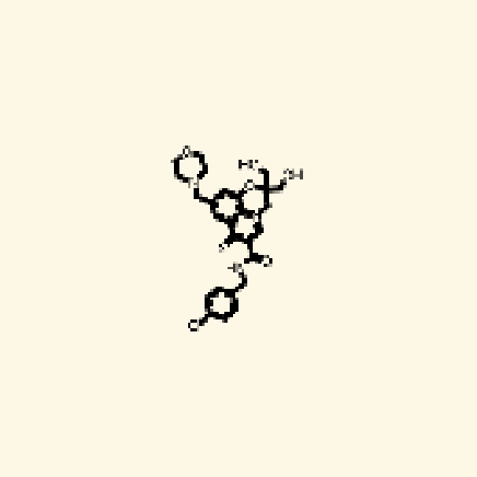 O=C(NCc1ccc(Cl)cc1)c1cn2c3c(cc(CN4CCOCC4)cc3c1=S)OC(CO)(CO)C2